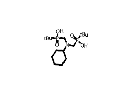 CC(C)(C)P(=O)(O)CN(CP(=O)(O)C(C)(C)C)C1CCCCC1